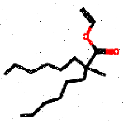 C=COC(=O)C(C)(CCCCCC)CCCCCC